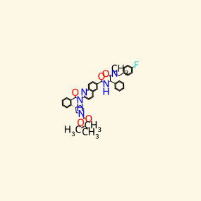 CN(Cc1ccc(F)cc1)C(=O)[C@@H](NC(=O)c1ccc2nc(NC(=O)c3ccccc3[C@@H]3CCN(C(=O)OC(C)(C)C)C3)ccc2c1)c1ccccc1